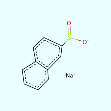 O=S([O-])c1ccc2ccccc2c1.[Na+]